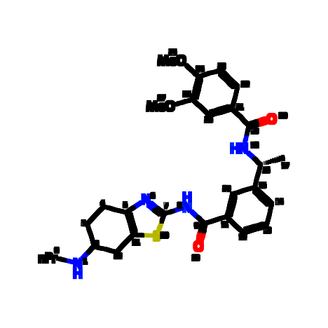 CCCNC1CCc2nc(NC(=O)c3cccc([C@@H](C)NC(=O)c4ccc(OC)c(OC)c4)c3)sc2C1